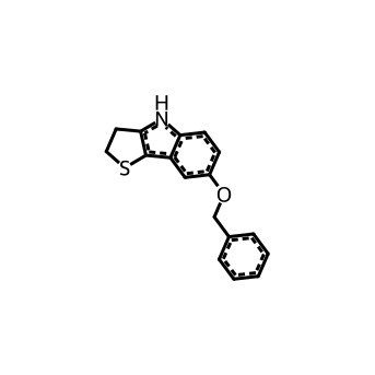 c1ccc(COc2ccc3[nH]c4c(c3c2)SCC4)cc1